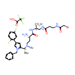 CC(=O)N(CC[C@H](N)C(=O)N[C@H](CNC(=O)CCNC(=O)CBr)C(=O)O)[C@@H](c1cc(-c2cc(F)ccc2F)cn1Cc1ccccc1)C(C)(C)C.O=C(O)C(F)(F)F